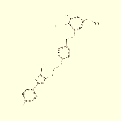 Cc1cc(OC(C)C)cc(OCc2ccc(OCCc3nc(-c4ccc(F)cc4)oc3C)cc2)c1C(=O)O